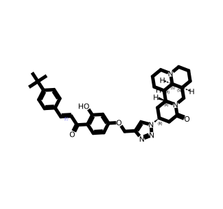 CC(C)(C)c1ccc(/C=C/C(=O)c2ccc(OCc3cn([C@H]4CC(=O)N5C[C@@H]6CCCN7CCC[C@@H]([C@H]67)[C@H]5C4)nn3)cc2O)cc1